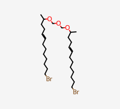 CC(CCC=CCCCCCCCBr)OCOCOC(C)CCC=CCCCCCCCBr